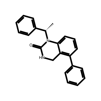 C[C@@H](c1ccccc1)N1C(=O)NCc2c(-c3ccccc3)cccc21